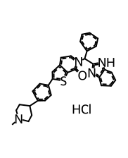 CN1CCC(c2ccc(-c3cc4ccn(C(c5ccccc5)c5nc6ccccc6[nH]5)c(=O)c4s3)cc2)CC1.Cl